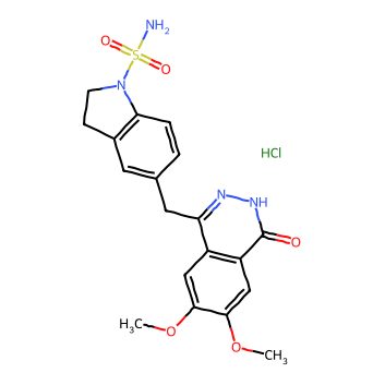 COc1cc2c(Cc3ccc4c(c3)CCN4S(N)(=O)=O)n[nH]c(=O)c2cc1OC.Cl